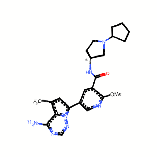 COc1ncc(-c2cc(C(F)(F)F)c3c(N)ncnn23)cc1C(=O)N[C@H]1CCN(C2CCCC2)C1